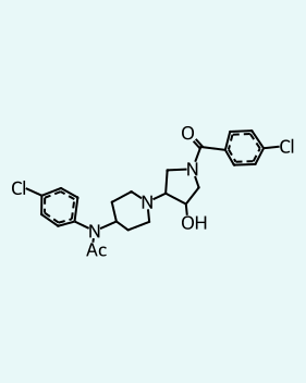 CC(=O)N(c1ccc(Cl)cc1)C1CCN(C2CN(C(=O)c3ccc(Cl)cc3)CC2O)CC1